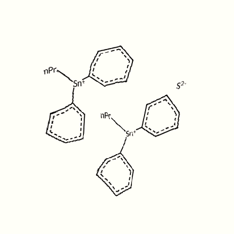 CC[CH2][Sn+]([c]1ccccc1)[c]1ccccc1.CC[CH2][Sn+]([c]1ccccc1)[c]1ccccc1.[S-2]